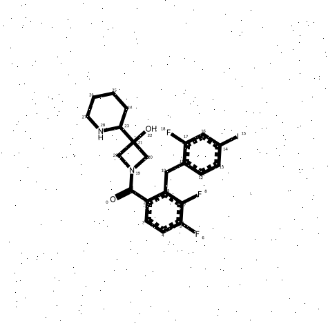 O=C(c1ccc(F)c(F)c1Cc1ccc(I)cc1F)N1CC(O)(C2CCCCN2)C1